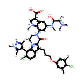 Cc1cc(OCCCc2c3n(c4c(-c5c(C)nn(C)c5C)c(Cl)ccc24)[C@H](C)CN(c2cc(N(C)C(O)[C@H](C)N(C)C)cc4c(C(=O)O)cn(C)c24)C3=O)cc(C)c1Cl